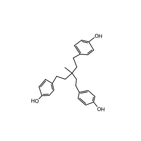 CC(CCc1ccc(O)cc1)(CCc1ccc(O)cc1)CCc1ccc(O)cc1